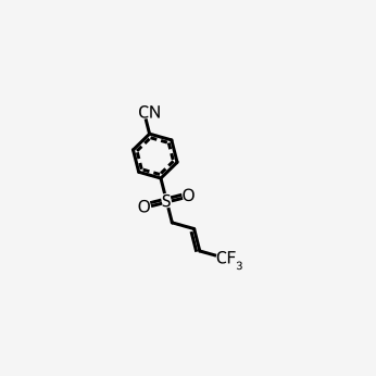 N#Cc1ccc(S(=O)(=O)CC=CC(F)(F)F)cc1